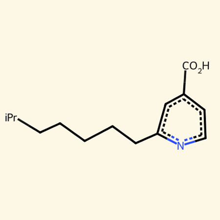 CC(C)CCCCCc1cc(C(=O)O)ccn1